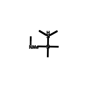 CNC.C[SiH](C)[Si](C)(C)C